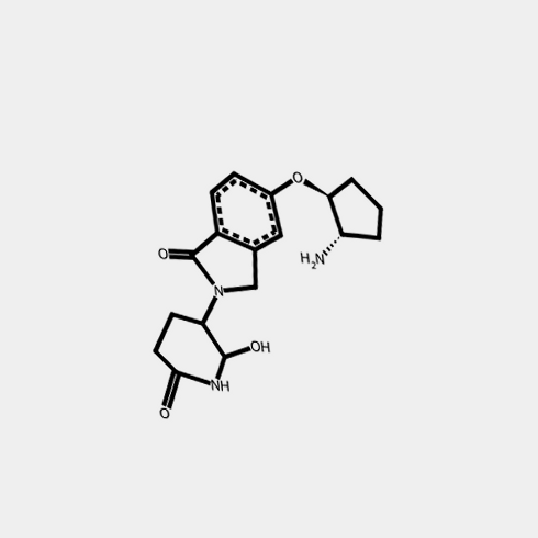 N[C@H]1CCC[C@@H]1Oc1ccc2c(c1)CN(C1CCC(=O)NC1O)C2=O